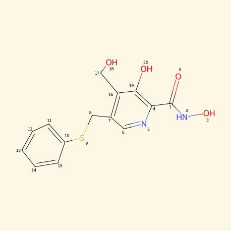 O=C(NO)c1ncc(CSc2ccccc2)c(CO)c1O